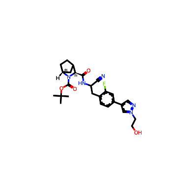 CC(C)(C)OC(=O)N1[C@@H]2CCC(C2)[C@H]1C(=O)NC(C#N)Cc1ccc(-c2cnn(CCO)c2)cc1F